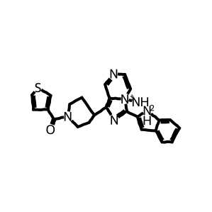 N[N+]12C=CN=CC1=C(C1CCN(C(=O)c3ccsc3)CC1)N=C2c1cc2ccccc2[nH]1